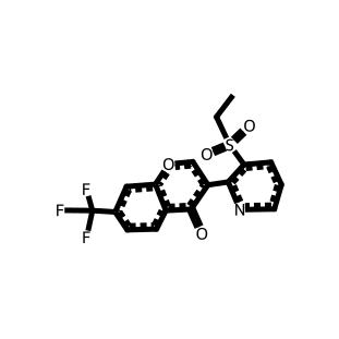 CCS(=O)(=O)c1cccnc1-c1coc2cc(C(F)(F)F)ccc2c1=O